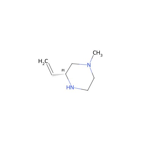 C=C[C@@H]1CN(C)CCN1